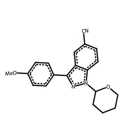 COc1ccc(-c2nn(C3CCCCO3)c3ccc(C#N)cc23)cc1